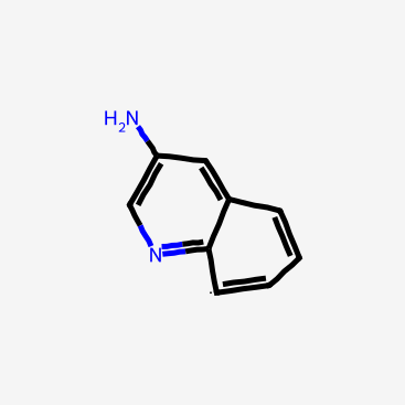 Nc1cnc2[c]cccc2c1